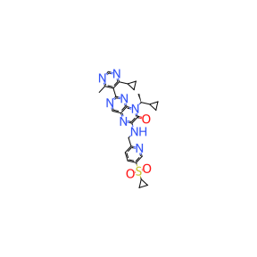 Cc1ncnc(C2CC2)c1-c1ncc2nc(NCc3ccc(S(=O)(=O)C4CC4)cn3)c(=O)n([C@@H](C)C3CC3)c2n1